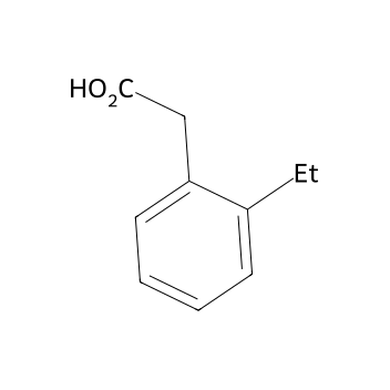 CCc1ccccc1CC(=O)O